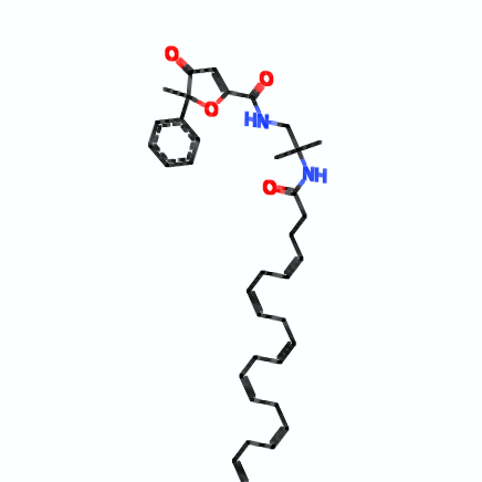 CC/C=C\C/C=C\C/C=C\C/C=C\C/C=C\C/C=C\CCC(=O)NC(C)(C)CNC(=O)C1=CC(=O)C(C)(c2ccccc2)O1